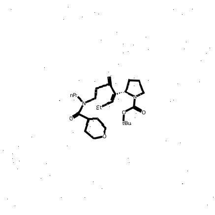 C=C(CCN(CCC)C(=O)C1CCOCC1)/C(=C\CC)[C@@H]1CCCN1C(=O)OC(C)(C)C